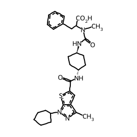 Cc1nn(C2CCCCC2)c2sc(C(=O)N[C@H]3CC[C@H](NC(=O)N(C)C(Cc4ccccc4)C(=O)O)CC3)cc12